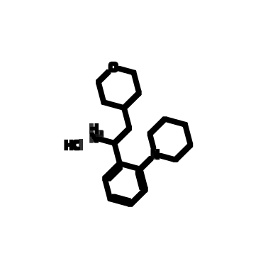 Cl.NC(CC1CCOCC1)c1ccccc1N1CCCCC1